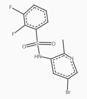 Cc1ncc(Br)cc1NS(=O)(=O)c1cccc(F)c1F